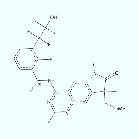 COCC1(C)C(=O)N(C)c2cc3c(N[C@H](C)c4cccc(C(F)(F)C(C)(C)O)c4F)nc(C)nc3cc21